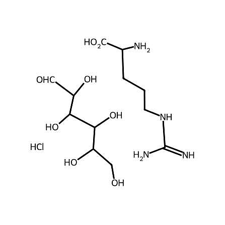 Cl.N=C(N)NCCCC(N)C(=O)O.O=CC(O)C(O)C(O)C(O)CO